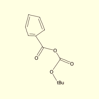 CC(C)(C)OC(=O)OC(=O)c1ccccc1